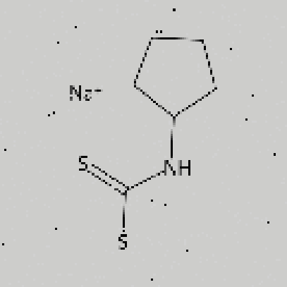 S=C([S-])NC1CCCC1.[Na+]